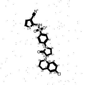 N#Cc1ccsc1NS(=O)(=O)c1ccc(N2CC[C@H](N3CCCc4cc(Cl)ccc43)C2=O)cc1